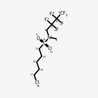 CN(CC(F)(F)C(F)(F)C(F)(F)F)S(=O)(=O)CCCCCCl